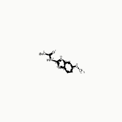 CC(C)COC(=O)Nc1nc2ccc(OC(F)(F)F)cc2s1